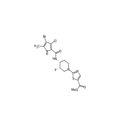 COC(=O)c1cnc(N2CC[C@@H](NC(=O)c3[nH]c(C)c(Br)c3Cl)[C@@H](F)C2)s1